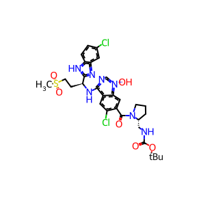 CC(C)(C)OC(=O)NC[C@H]1CCCN1C(=O)c1cc2c(cc1Cl)c(N[C@@H](CCS(C)(=O)=O)c1nc3cc(Cl)ccc3[nH]1)nc[n+]2O